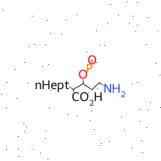 CCCCCCCC(C(=O)O)C(CCN)OP=O